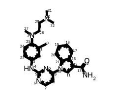 Cc1cc(Nc2nccc(-n3cc(C(N)=O)c4ccccc43)n2)ccc1N(C)CCN(C)C